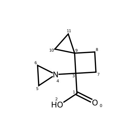 O=C(O)C1(N2CC2)CCC12CC2